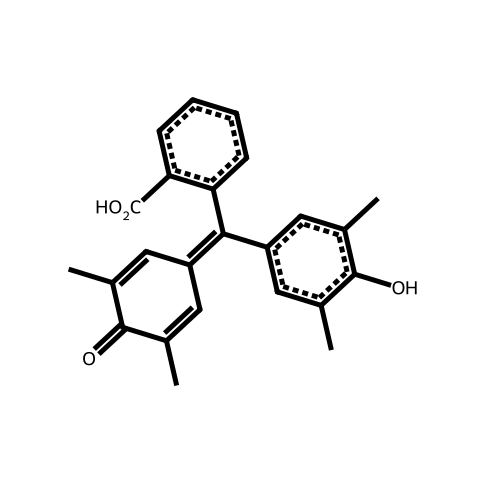 CC1=CC(=C(c2cc(C)c(O)c(C)c2)c2ccccc2C(=O)O)C=C(C)C1=O